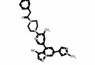 Cc1cc(-c2cc(-c3cnn(C)c3)cn3ncc(C#N)c23)cnc1N1CCN(C(=O)Cc2ccccc2)CC1